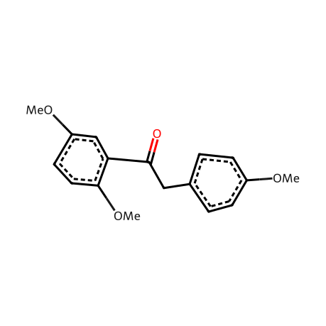 COc1ccc(CC(=O)c2cc(OC)ccc2OC)cc1